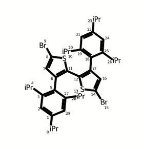 CC(C)c1cc(C(C)C)c(-c2cc(Br)sc2-c2sc(Br)cc2-c2c(C(C)C)cc(C(C)C)cc2C(C)C)c(C(C)C)c1